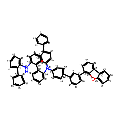 c1ccc(-c2ccc(N(c3ccc(-c4cccc(-c5cccc6c5oc5ccccc56)c4)cc3)c3ccccc3-c3ccccc3Nc3ccccc3-c3ccccc3)cc2)cc1